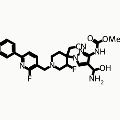 COC(=O)Nc1nn(C2(CC#N)CCN(Cc3ccc(-c4ccccc4)nc3F)CC2F)cc1C(N)O